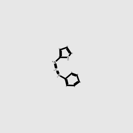 C(=Nc1ccccc1)=Nc1cccs1